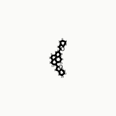 c1ccc2oc(-c3cc4ccc5ccc(-c6cc7ccccc7o6)c6ccc(c3)c4c56)cc2c1